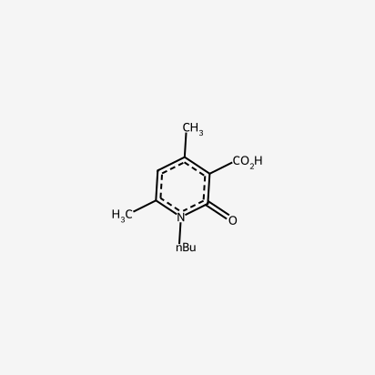 CCCCn1c(C)cc(C)c(C(=O)O)c1=O